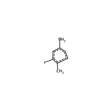 Bc1ccc(C)c(I)c1